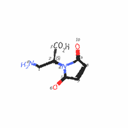 NC[C@@H](C(=O)O)N1C(=O)C=CC1=O